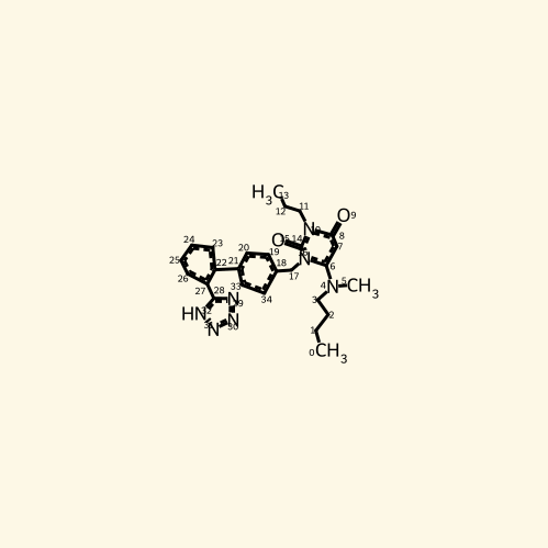 CCCCN(C)c1cc(=O)n(CCC)c(=O)n1Cc1ccc(-c2ccccc2-c2nnn[nH]2)cc1